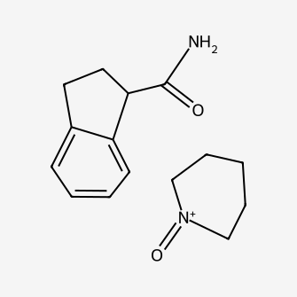 NC(=O)C1CCc2ccccc21.O=[N+]1CCCCC1